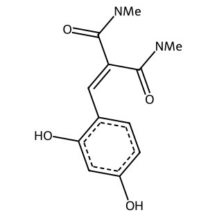 CNC(=O)C(=Cc1ccc(O)cc1O)C(=O)NC